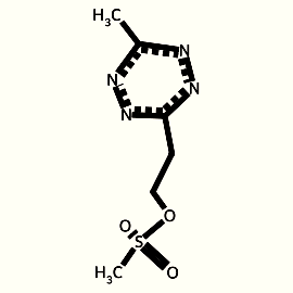 Cc1nnc(CCOS(C)(=O)=O)nn1